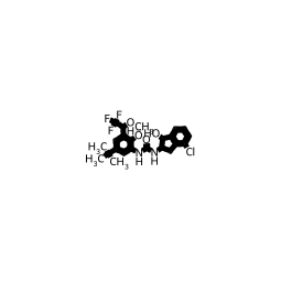 COc1c(NC(=O)NC2Cc3c(Cl)cccc3C2O)cc(C(C)(C)C)cc1C(O)C(F)(F)F